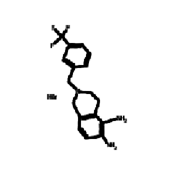 Br.Nc1ccc2c(c1N)CCN(Cc1cccc(C(F)(F)F)c1)C2